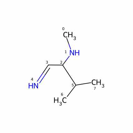 CNC(C=N)C(C)C